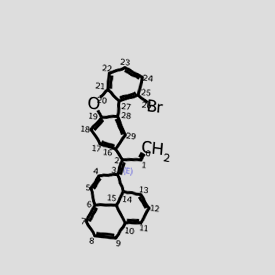 C=C/C(=C1/C=CC2=CC=CC3=CC=CC1C32)c1ccc2oc3cccc(Br)c3c2c1